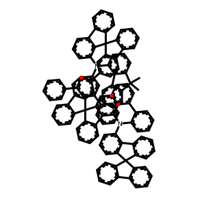 CC1(C)c2ccccc2-c2c(N(c3cc(-c4ccccc4)cc(-c4ccccc4)c3)c3cccc4c3C3(c5ccccc5-c5ccc(-c6ccc7c(c6)C6(c8ccccc8-7)c7ccccc7-c7c(N(c8ccccc8-c8ccccc8)c8cccc9c8-c8ccccc8C98c9ccccc9-c9ccccc98)cccc76)cc53)c3ccccc3-4)cccc21